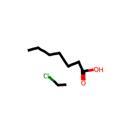 CCCCCCC(=O)O.CCCl